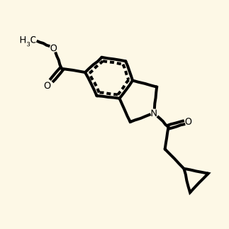 COC(=O)c1ccc2c(c1)CN(C(=O)CC1CC1)C2